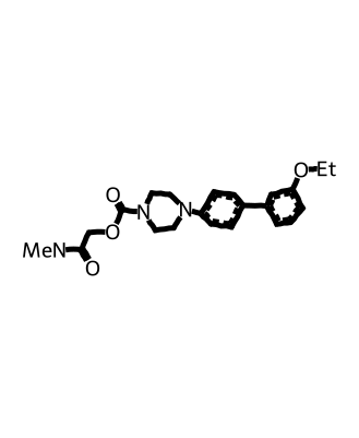 CCOc1cccc(-c2ccc(N3CCN(C(=O)OCC(=O)NC)CC3)cc2)c1